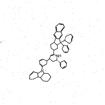 C1=CCC(C2(C3CC=CCC3)c3cc4ccccc4cc3C3CCC(C4=CC(C5C=CC=C(N6C7C=CCCC7C7CCCCC76)C5)CC(c5ccccc5)N4)CC32)C=C1